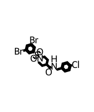 O=C(NCc1ccc(Cl)cc1)C1CCN(S(=O)(=O)c2cc(Br)cc(Br)c2)CC1